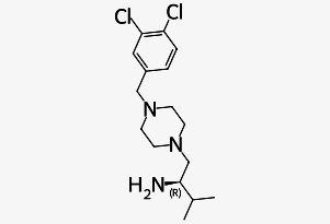 CC(C)[C@@H](N)CN1CCN(Cc2ccc(Cl)c(Cl)c2)CC1